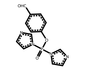 O=Cc1ccc(OP(=O)(n2ccnc2)n2ccnc2)cc1